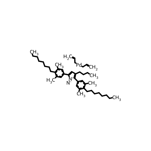 C=C[CH2][Pd][CH2]C=C.CCCCCCCCc1c(C)cc(C2=CC(CCCC)=C(c3cc(C)c(CCCCCCCC)c(C)c3)[N+]2=[N-])cc1C